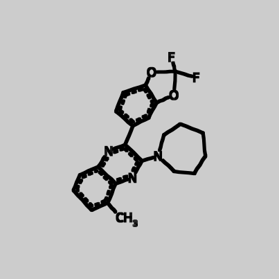 Cc1cccc2nc(-c3ccc4c(c3)OC(F)(F)O4)c(N3CCCCCC3)nc12